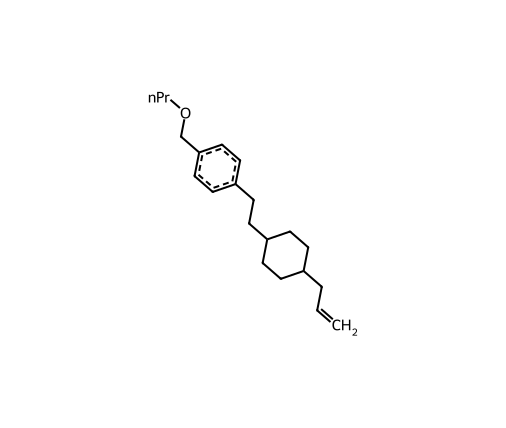 C=CCC1CCC(CCc2ccc(COCCC)cc2)CC1